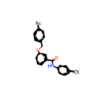 CC(=O)c1ccc(COc2cccc(C(=O)Nc3ccc(C#N)cc3)c2)cc1